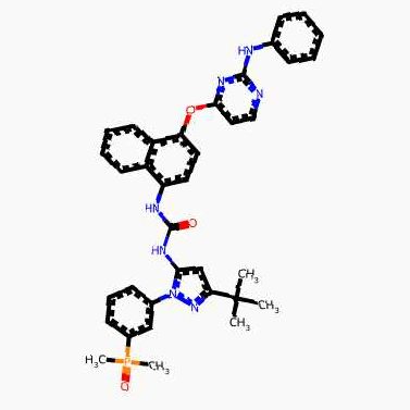 CC(C)(C)c1cc(NC(=O)Nc2ccc(Oc3ccnc(Nc4ccccc4)n3)c3ccccc23)n(-c2cccc(P(C)(C)=O)c2)n1